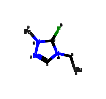 CC(C)N1N=CN(CC(C)(C)C)C1F